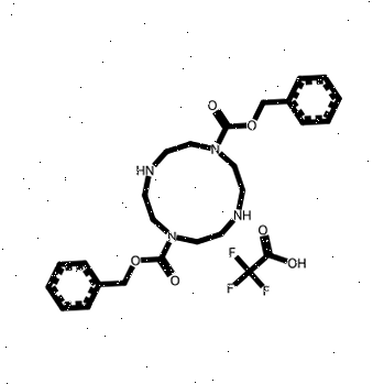 O=C(O)C(F)(F)F.O=C(OCc1ccccc1)N1CCNCCN(C(=O)OCc2ccccc2)CCNCC1